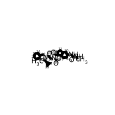 CNC(=O)Nc1ccc2c(c1)CCC21OC(=O)N(CC(=O)N(Cc2ccccc2)[C@@H](C)C2CC2)C1=O